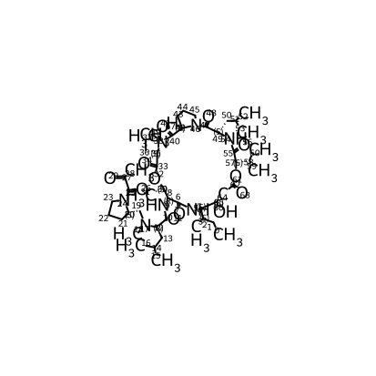 CC[C@H](C)[C@@H]1NC(=O)[C@H](NC(=O)[C@@H](CC(C)C)N(C)C[C@@H]2CCCN2C(=O)C(C)=O)[C@H](C)OC(=O)[C@H](CC)N(C)C(=O)[C@@H]2CCCN2C(=O)[C@H](CC(C)C)NC(=O)[C@H](C(C)C)OC(=O)C[C@@H]1O